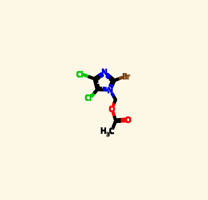 CC(=O)OCn1c(Br)nc(Cl)c1Cl